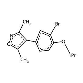 Cc1noc(C)c1-c1ccc(OC(C)C)c(Br)c1